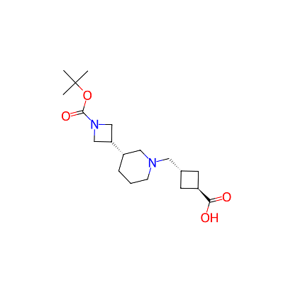 CC(C)(C)OC(=O)N1CC([C@H]2CCCN(C[C@H]3C[C@H](C(=O)O)C3)C2)C1